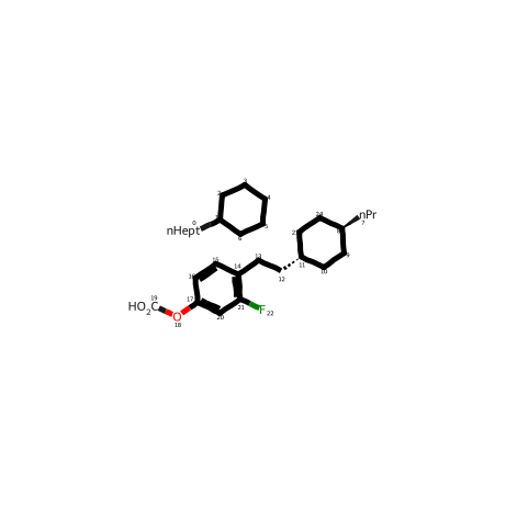 CCCCCCCC1CCCCC1.CCC[C@H]1CC[C@H](CCc2ccc(OC(=O)O)cc2F)CC1